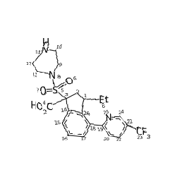 CCC1CC(C(=O)O)(S(=O)(=O)N2CCNCC2)c2cccc(-c3ccc(C(F)(F)F)cn3)c21